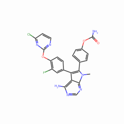 Cn1c(-c2ccc(OC(N)=O)cc2)c(-c2ccc(Oc3nccc(Cl)n3)c(F)c2)c2c(N)ncnc21